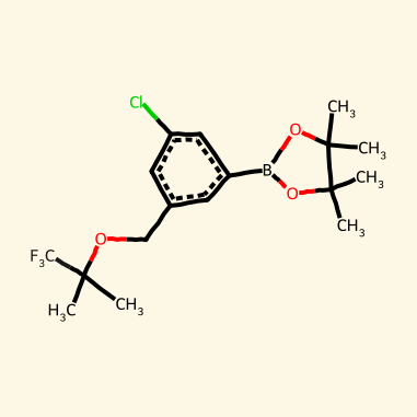 CC(C)(OCc1cc(Cl)cc(B2OC(C)(C)C(C)(C)O2)c1)C(F)(F)F